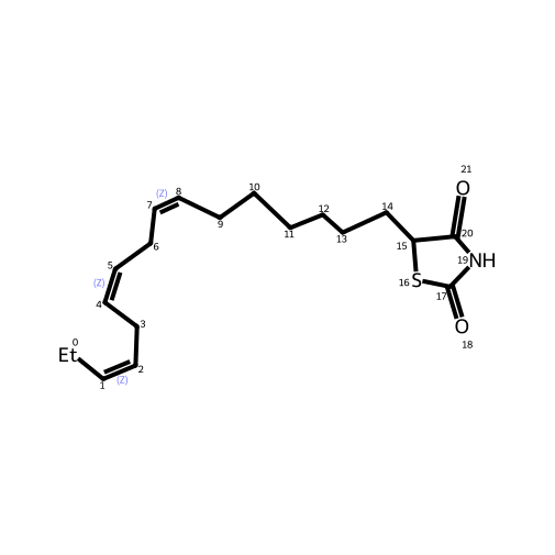 CC/C=C\C/C=C\C/C=C\CCCCCCC1SC(=O)NC1=O